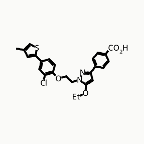 CCOc1cc(-c2ccc(C(=O)O)cc2)nn1CCOc1ccc(-c2cc(C)cs2)cc1Cl